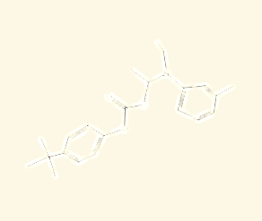 CCN(c1cccc(C)c1)C(C)OC(=O)Oc1ccc(C(C)(C)C)cc1